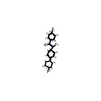 F/C(=C(/F)c1ccc(C2CCC(F)CC2)cc1)c1ccc(F)cc1